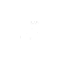 CN[S+]([O-])C(F)(F)F